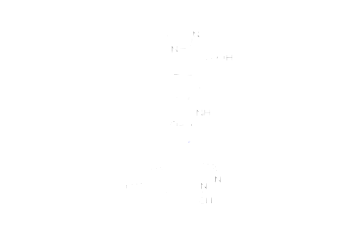 Cn1ncc(/C=C/C(=O)Nc2ccc(Cn3ccnc3CO)cc2)c1-c1ccc(F)cc1